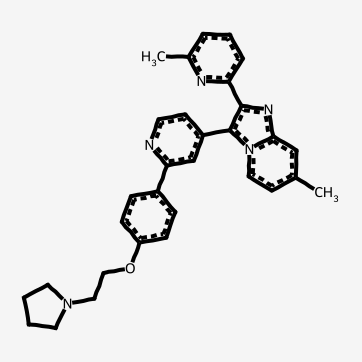 Cc1ccn2c(-c3ccnc(-c4ccc(OCCN5CCCC5)cc4)c3)c(-c3cccc(C)n3)nc2c1